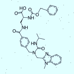 CC(C)NC(=O)N(Cc1ccc(C(=O)NC[C@H](NC(=O)OCc2ccccc2)C(=O)O)cc1)Cc1nc2ccccc2n1C